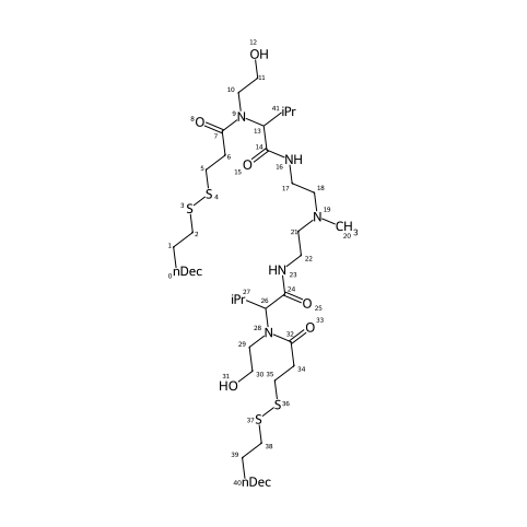 CCCCCCCCCCCCSSCCC(=O)N(CCO)C(C(=O)NCCN(C)CCNC(=O)C(C(C)C)N(CCO)C(=O)CCSSCCCCCCCCCCCC)C(C)C